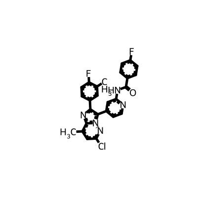 Cc1cc(-c2nc3c(C)cc(Cl)nn3c2-c2ccnc(NC(=O)c3ccc(F)cc3)c2)ccc1F